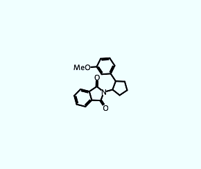 COc1cccc(C2CCCC2N2C(=O)c3ccccc3C2=O)c1